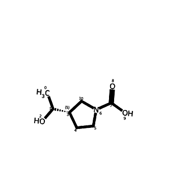 CC(O)[C@H]1CCN(C(=O)O)C1